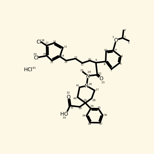 CC(C)Oc1cccc(C(CCCCc2ccc(Cl)c(Cl)c2)C(=O)N(C)N2CCC(CC(=O)O)(c3ccccc3)CC2)c1.Cl